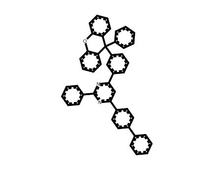 c1ccc(-c2ccc(-c3cc(-c4cccc(C5(c6ccccc6)c6ccccc6Oc6ccccc65)c4)nc(-c4ccccc4)n3)cc2)cc1